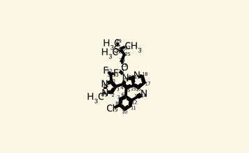 Cn1cc(-c2c(-c3cc(Cl)ccc3C#N)c3cccnc3n2COCC[Si](C)(C)C)c(C(F)F)n1